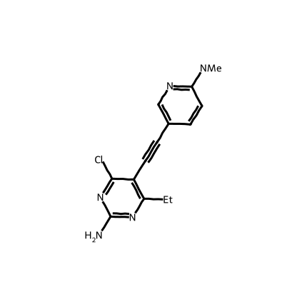 CCc1nc(N)nc(Cl)c1C#Cc1ccc(NC)nc1